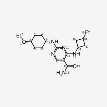 CCO[C@H]1CC[C@H](Nc2ncc(C(N)=O)c(NC3CC(CC)C3)n2)CC1